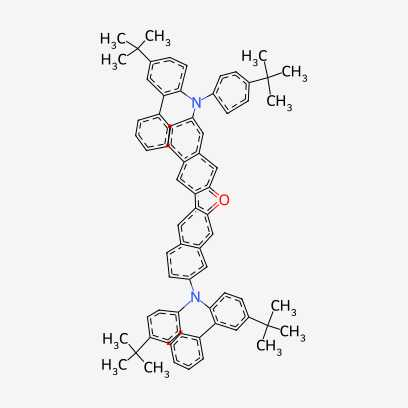 CC(C)(C)c1ccc(N(c2ccc3cc4c(cc3c2)oc2cc3cc(N(c5ccc(C(C)(C)C)cc5)c5ccc(C(C)(C)C)cc5-c5ccccc5)ccc3cc24)c2ccc(C(C)(C)C)cc2-c2ccccc2)cc1